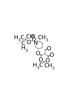 C[C@@H]1C[C@H](C(=O)C2C(=O)OC(C)(C)OC2=O)CCN1C(=O)OC(C)(C)C